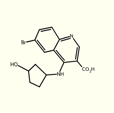 O=C(O)c1cnc2ccc(Br)cc2c1NC1CCC(O)C1